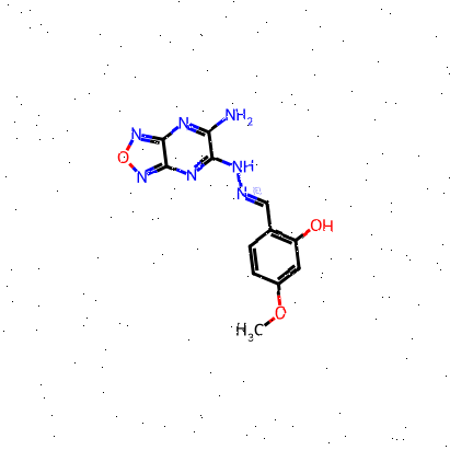 COc1ccc(/C=N/Nc2nc3nonc3nc2N)c(O)c1